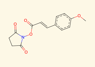 COc1ccc(C=CC(=O)ON2C(=O)CCC2=O)cc1